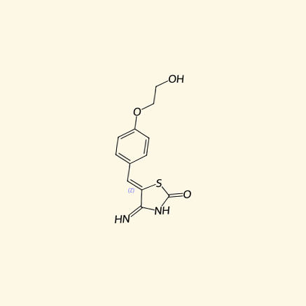 N=C1NC(=O)S/C1=C\c1ccc(OCCO)cc1